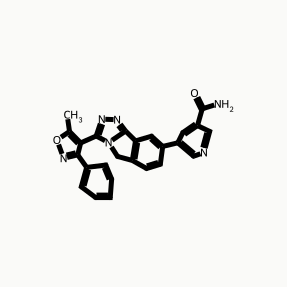 Cc1onc(-c2ccccc2)c1-c1nnc2n1Cc1ccc(-c3cncc(C(N)=O)c3)cc1-2